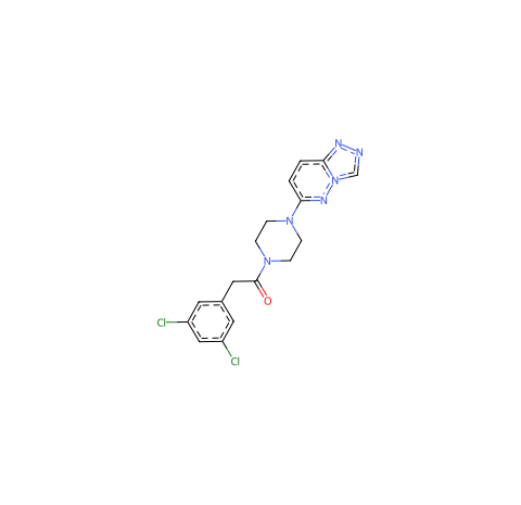 O=C(Cc1cc(Cl)cc(Cl)c1)N1CCN(c2ccc3nncn3n2)CC1